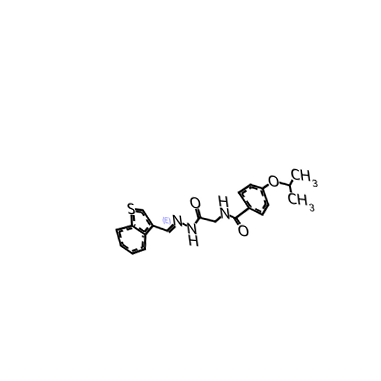 CC(C)Oc1ccc(C(=O)NCC(=O)N/N=C/c2csc3ccccc23)cc1